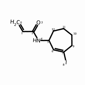 C=CC(=O)NC1C=C(I)CCCC1